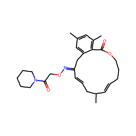 Cc1cc(C)c2c(c1)CC(=N/OCC(=O)N1CCCCC1)/C=C/CC(C)/C=C/CCCOC2=O